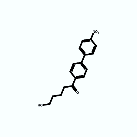 O=C(CCCCO)c1ccc(-c2ccc([N+](=O)[O-])cc2)cc1